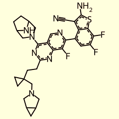 N#Cc1c(N)sc2c(F)c(F)cc(-c3ncc4c(N5CC6CCC(C5)N6)nc(CCC5(CN6CC7CC7C6)CC5)nc4c3F)c12